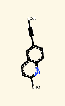 CCCCCCCCC#Cc1ccc2nc(C=O)ccc2c1